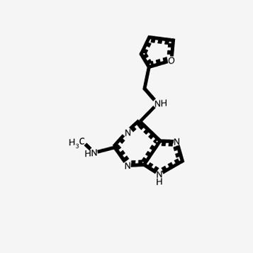 CNc1nc(NCc2ccco2)c2nc[nH]c2n1